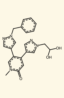 Cn1cc(-c2cnn(Cc3ccccc3)c2)c(-c2cnn(CC(O)O)c2)cc1=O